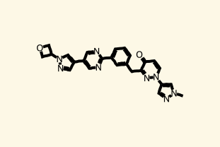 Cn1cc(-n2ccc(=O)c(Cc3cccc(-c4ncc(-c5cnn(C6COC6)c5)cn4)c3)n2)cn1